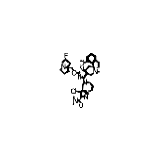 CN(C)C(=O)c1nn2c(c1Cl)CN(c1nc(OC[C@@]34CCCN3C[C@H](F)C4)nc3c1CN(C)[C@@]1(CCc4cccc(Cl)c41)C3)CCC2